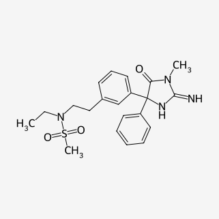 CCN(CCc1cccc(C2(c3ccccc3)NC(=N)N(C)C2=O)c1)S(C)(=O)=O